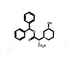 O=C(O)[C@H](C(=O)OC(c1ccccc1)c1ccccc1)[C@@H]1CCC[C@H](O)C1